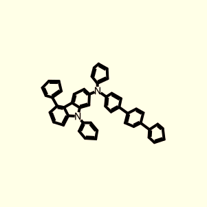 c1ccc(-c2ccc(-c3ccc(N(c4ccccc4)c4ccc5c6c(-c7ccccc7)cccc6n(-c6ccccc6)c5c4)cc3)cc2)cc1